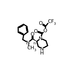 CN(Cc1ccccc1)C(=O)[C@@H]1CNCCN1C(=O)OC(=O)C(F)(F)F